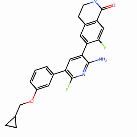 Nc1nc(F)c(-c2cccc(OCC3CC3)c2)cc1-c1cc2c(cc1F)C(=O)NCC2